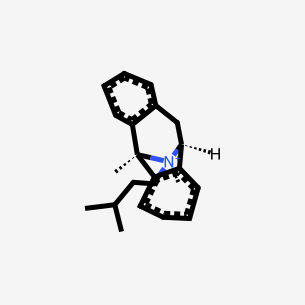 CC(C)CC[N@+]1(C)[C@H]2Cc3ccccc3[C@]1(C)c1ccccc12